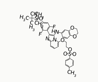 Cc1ccc(S(=O)(=O)OCCOc2cccc3nc(-c4c(F)cc(O[Si](C)(C)C(C)(C)C)cc4F)c(Nc4ccc5c(c4)OCCO5)n23)cc1